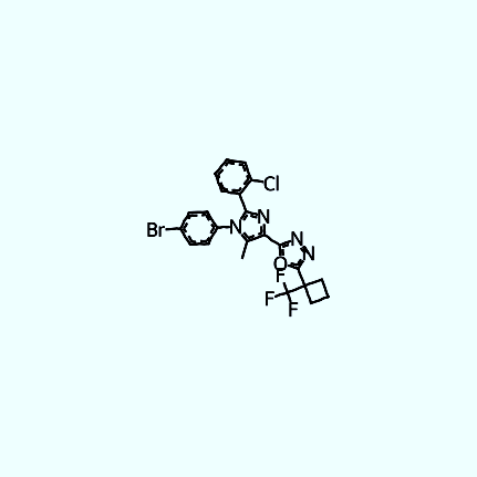 Cc1c(-c2nnc(C3(C(F)(F)F)CCC3)o2)nc(-c2ccccc2Cl)n1-c1ccc(Br)cc1